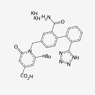 CCCCc1cc(C(=O)O)cc(=O)n1Cc1ccc(-c2ccccc2-c2nnn[nH]2)c(C(N)=O)c1.[KH].[KH]